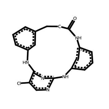 O=C1CCc2cccc(c2)Nc2nc(ncc2Cl)Nc2cccc(c2)N1